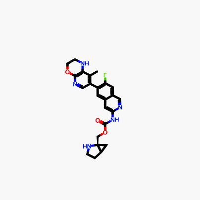 Cc1c(-c2cc3cc(NC(=O)OC[C@@]45CC4CCN5)ncc3cc2F)cnc2c1NCCO2